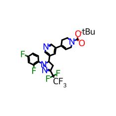 CC(C)(C)OC(=O)N1CC=C(c2cncc(C3CC(C(F)(F)C(F)(F)F)=NN3c3ccc(F)cc3F)c2)CC1